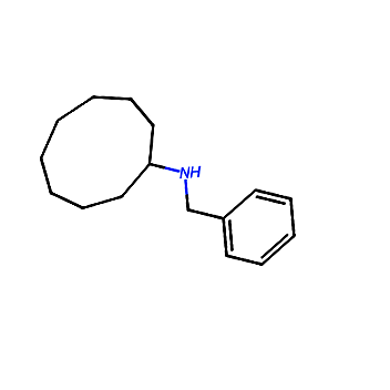 c1ccc(CNC2CCCCCCCC2)cc1